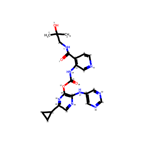 CC(C)(O)CNC(=O)c1ccncc1NC(=O)Oc1nc(C2CC2)cnc1Nc1cncnc1